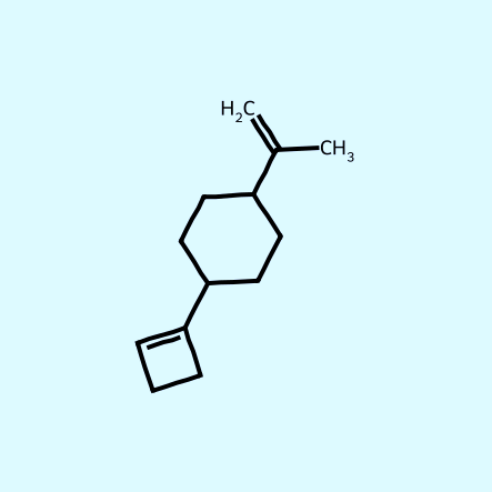 C=C(C)C1CCC(C2=CCC2)CC1